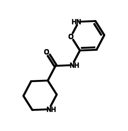 O=C(NC1=CC=CNO1)C1CCCNC1